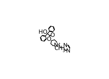 C[N+]1(CCc2cnccn2)CCC(OC(=O)C(O)(c2ccccc2)c2ccccc2)CC1